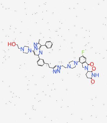 Cc1nn2c(N3CCN(CCO)CC3)cc(-c3cccc(CCc4cn(CCN5CCN(c6cc(F)cc7c6CN(C6CCC(=O)NC6=O)C7=O)CC5)nn4)c3)nc2c1-c1ccccc1